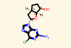 Nc1nc(Cl)c2ncn([C@@H]3C[C@H]4CC[C@@H](O)[C@H]4O3)c2n1